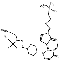 C[Si](C)(C)CCOCn1ccc2c1ncc1c(=O)ccn([C@H]3CC[C@H](CNC(CC#N)C(F)(F)F)CC3)c12